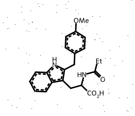 CCC(=O)NC(Cc1c(Cc2ccc(OC)cc2)[nH]c2ccccc12)C(=O)O